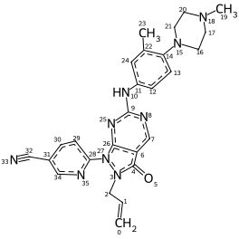 C=CCn1c(=O)c2cnc(Nc3ccc(N4CCN(C)CC4)c(C)c3)nc2n1-c1ccc(C#N)cn1